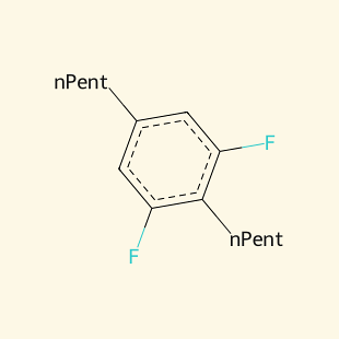 CCCCCc1cc(F)c(CCCCC)c(F)c1